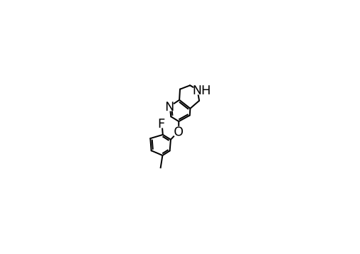 Cc1ccc(F)c(Oc2cnc3c(c2)CNCC3)c1